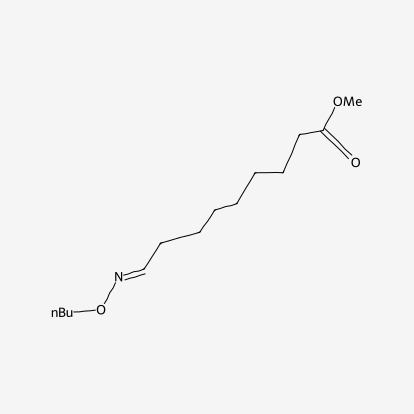 CCCCO/N=C/CCCCCCCC(=O)OC